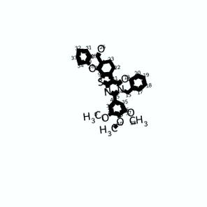 COc1cc(-c2nc3sc4c(c3c(=O)n2Cc2ccccc2)CCC(C=O)=C4Oc2ccccc2)cc(OC)c1OC